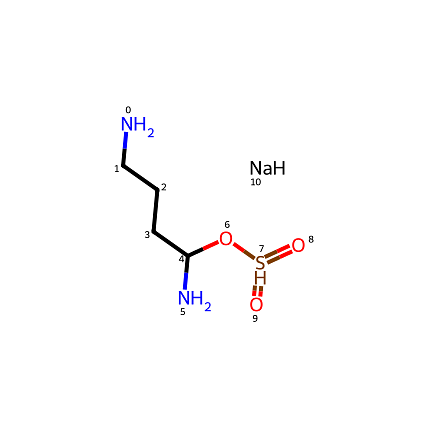 NCCCC(N)O[SH](=O)=O.[NaH]